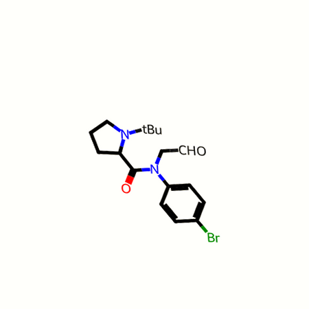 CC(C)(C)N1CCCC1C(=O)N(CC=O)c1ccc(Br)cc1